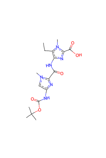 CCc1c(NC(=O)c2nc(NC(=O)OC(C)(C)C)cn2C)nc(C(=O)O)n1C